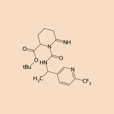 CC(NC(=O)N1C(=N)CCCC1C(=O)OC(C)(C)C)c1ccc(C(F)(F)F)nc1